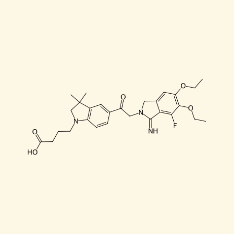 CCOc1cc2c(c(F)c1OCC)C(=N)N(CC(=O)c1ccc3c(c1)C(C)(C)CN3CCCC(=O)O)C2